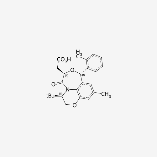 Cc1cc2c3c(c1)[C@@H](c1ccccc1C)O[C@H](CC(=O)O)C(=O)N3[C@H](C(C)(C)C)CO2